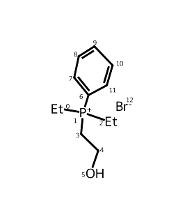 CC[P+](CC)(CCO)c1ccccc1.[Br-]